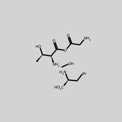 CC(C)C[C@H](N)C(=O)O.CO.C[C@@H](O)[C@H](N)C(=O)OC(=O)CN